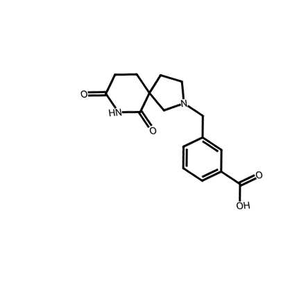 O=C1CCC2(CCN(Cc3cccc(C(=O)O)c3)C2)C(=O)N1